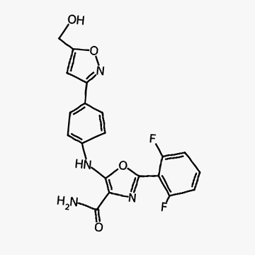 NC(=O)c1nc(-c2c(F)cccc2F)oc1Nc1ccc(-c2cc(CO)on2)cc1